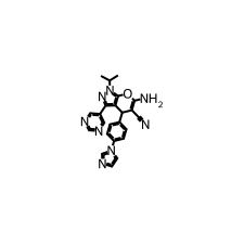 CC(C)n1nc(-c2cncnc2)c2c1OC(N)=C(C#N)C2c1ccc(-n2ccnc2)cc1